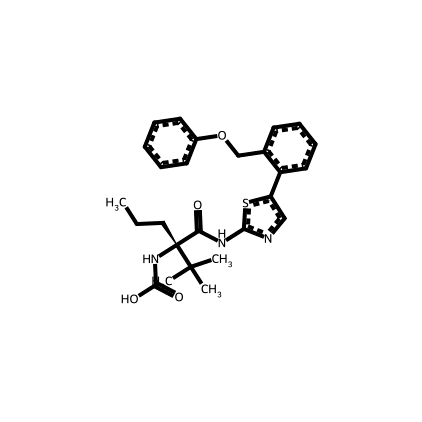 CCC[C@@](NC(=O)O)(C(=O)Nc1ncc(-c2ccccc2COc2ccccc2)s1)C(C)(C)C